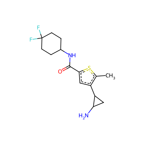 Cc1sc(C(=O)NC2CCC(F)(F)CC2)cc1C1CC1N